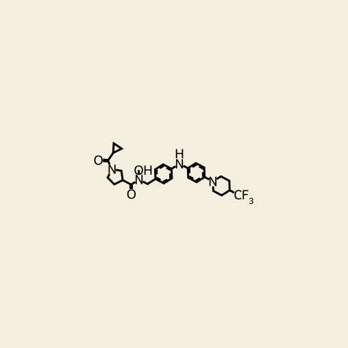 O=C(C1CCN(C(=O)C2CC2)C1)N(O)Cc1ccc(Nc2ccc(N3CCC(C(F)(F)F)CC3)cc2)cc1